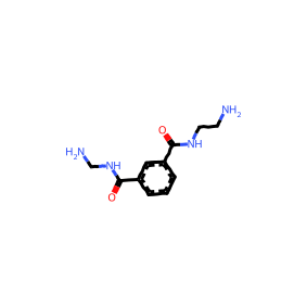 NCCNC(=O)c1cccc(C(=O)NCN)c1